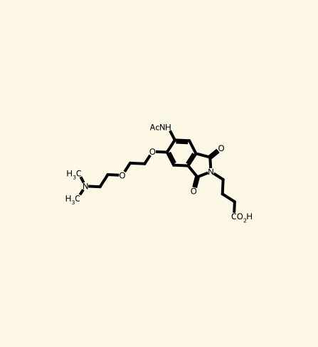 CC(=O)Nc1cc2c(cc1OCCOCCN(C)C)C(=O)N(CCCC(=O)O)C2=O